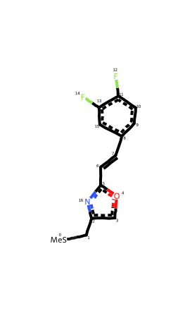 CSCc1coc(/C=C/c2ccc(F)c(F)c2)n1